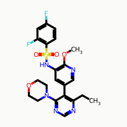 CCc1ncnc(N2CCOCC2)c1-c1cnc(OC)c(NS(=O)(=O)c2ccc(F)cc2F)c1